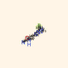 CC(C)(C)c1nc(N2CCN(CCC3CCC(NC(=O)CCC#N)CC3)CC2)cc(C(F)(F)F)n1